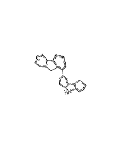 c1ccc2c(c1)Cc1c(-c3ccc4[nH]c5ccccc5c4c3)cccc1-2